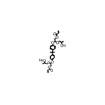 C=CC(=O)OCC(OCC(C)O)Oc1ccc(C(C)(C)c2ccc(OC(COC(=O)C=C)OCC(C)O)cc2)cc1